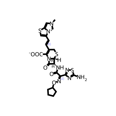 Cn1cc2scc(/C=C/C3=C(C(=O)[O-])N4C(=O)[C@@H](NC(=O)/C(=N\OC5CCCC5)c5nsc(N)n5)[C@H]4SC3)[n+]2c1